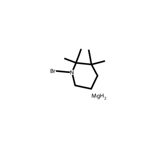 CC1(C)CCCN(Br)C1(C)C.[MgH2]